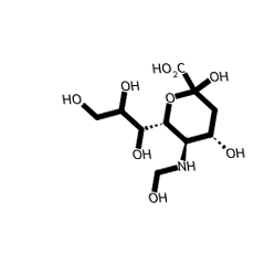 O=C(O)C1(O)C[C@H](O)[C@@H](NCO)[C@H](C(O)C(O)CO)O1